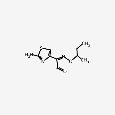 CCC(C)ON=C([C]=O)c1csc(N)n1